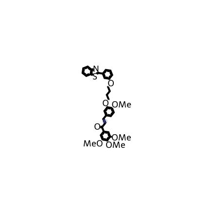 COc1ccc(/C=C/C(=O)c2cc(OC)c(OC)c(OC)c2)cc1OCCCCOc1cccc(-c2nc3ccccc3s2)c1